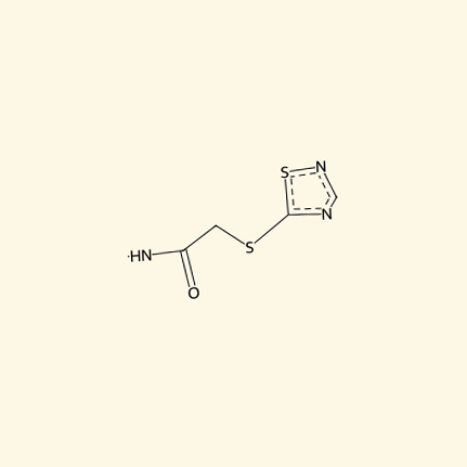 [NH]C(=O)CSc1ncns1